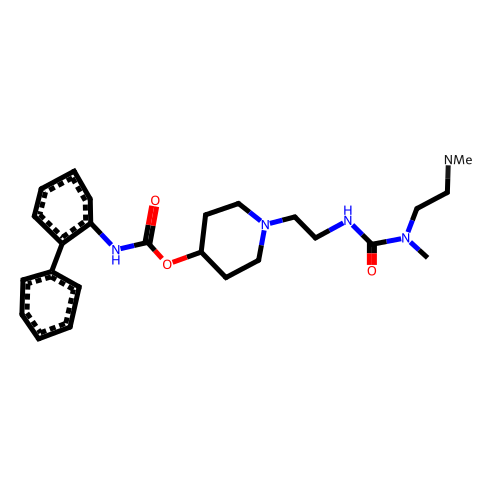 CNCCN(C)C(=O)NCCN1CCC(OC(=O)Nc2ccccc2-c2ccccc2)CC1